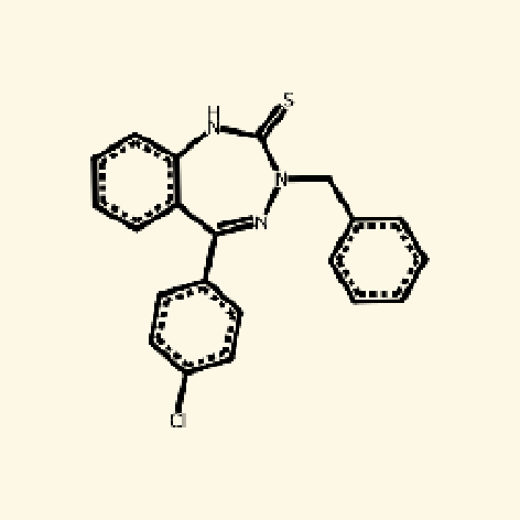 S=C1Nc2ccccc2C(c2ccc(Cl)cc2)=NN1Cc1ccccc1